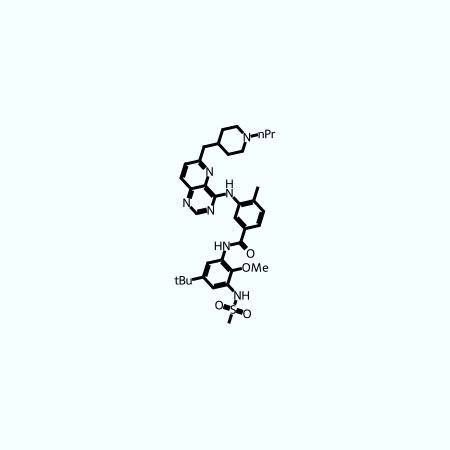 CCCN1CCC(Cc2ccc3ncnc(Nc4cc(C(=O)Nc5cc(C(C)(C)C)cc(NS(C)(=O)=O)c5OC)ccc4C)c3n2)CC1